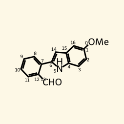 COc1ccc2[nH]c(-c3ccccc3C=O)cc2c1